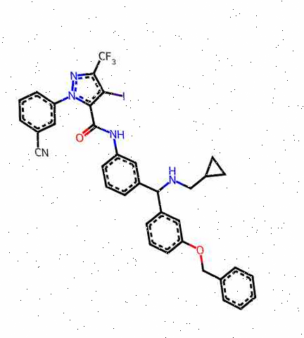 N#Cc1cccc(-n2nc(C(F)(F)F)c(I)c2C(=O)Nc2cccc(C(NCC3CC3)c3cccc(OCc4ccccc4)c3)c2)c1